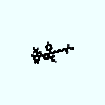 CC1(C)CC(=O)c2c(C(F)(F)F)nn(-c3ccc(C(N)=O)c(N(CCCCCCC(=O)NO)C4CCNCC4)c3)c2C1